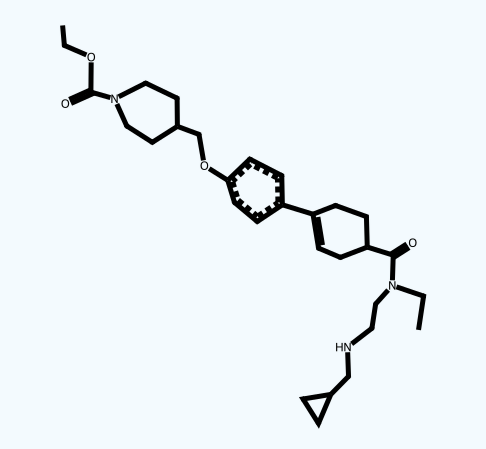 CCOC(=O)N1CCC(COc2ccc(C3=CCC(C(=O)N(CC)CCNCC4CC4)CC3)cc2)CC1